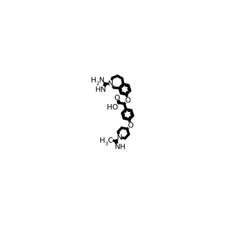 CC(=N)N1CCC(Oc2ccc(C(Oc3ccc4c(c3)CN(C(=N)N)CCC4)C(=O)O)cc2)CC1